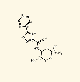 CC[C@]1(C)CC[C@H](C)C(NC(=O)c2csc(-c3ccccc3)n2)C1